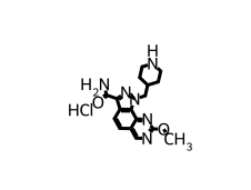 COc1ncc2ccc3c(C(N)=O)nn(CC4CCNCC4)c3c2n1.Cl